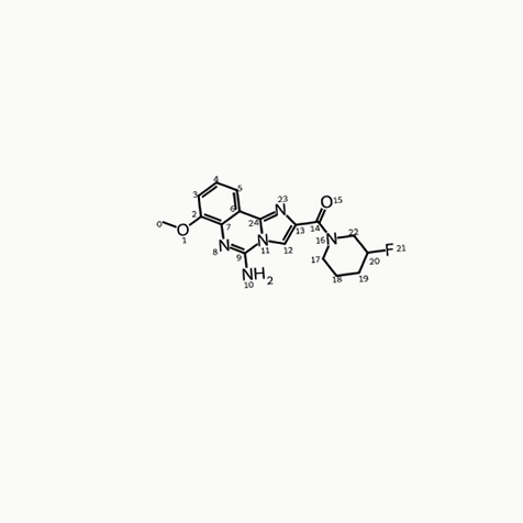 COc1cccc2c1nc(N)n1cc(C(=O)N3CCCC(F)C3)nc21